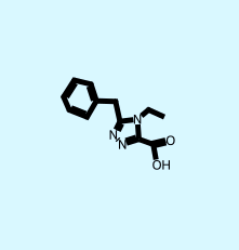 CCn1c(Cc2ccccc2)nnc1C(=O)O